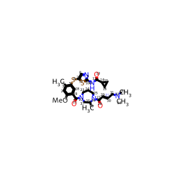 COc1cc(C)c(Sc2cnc(NC(=O)C3CC3)s2)cc1C(=O)N1CCCN(C(=O)/C=C/CN(C)C)C(C)C1